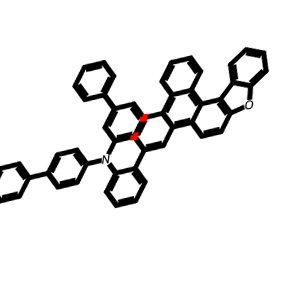 c1ccc(-c2ccc(N(c3cccc(-c4ccccc4)c3)c3ccccc3-c3ccc4c5ccccc5c5c(ccc6oc7ccccc7c65)c4c3)cc2)cc1